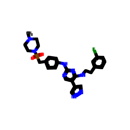 CN1CCN(S(=O)(=O)Cc2ccc(Nc3ncc(-c4cn[nH]c4)c(NCCc4cccc(F)c4)n3)cc2)CC1